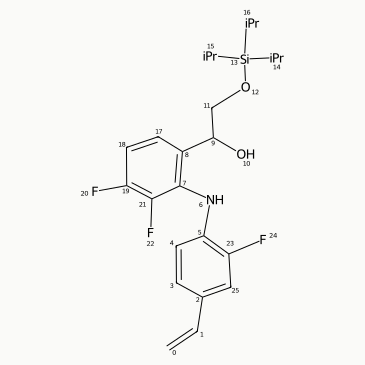 C=Cc1ccc(Nc2c(C(O)CO[Si](C(C)C)(C(C)C)C(C)C)ccc(F)c2F)c(F)c1